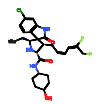 CC(C)(C)C[C@@H]1N[C@@H](C(=O)N[C@H]2CC[C@H](O)CC2)[C@H](C/C=C\C=C(\F)CF)[C@]12C(=O)Nc1cc(Cl)ccc12